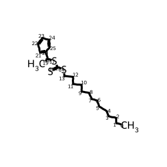 CCCCCCCCCCCCCCSC(=S)SC(C)c1ccccc1